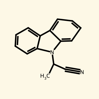 CC(C#N)n1c2ccccc2c2ccccc21